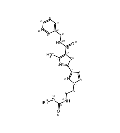 Cc1nc(-c2ccn(CCNC(=O)OC(C)(C)C)n2)sc1C(=O)NCc1cccnc1